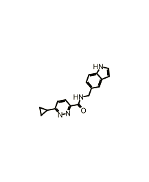 O=C(NCc1ccc2[nH]ccc2c1)c1ccc(C2CC2)nn1